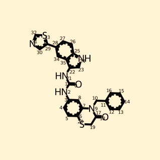 O=C(Nc1ccc2c(c1)N(Cc1ccccc1)C(=O)CS2)Nc1c[nH]c2ccc(-c3cncs3)cc12